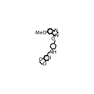 COc1ccc2ncnc(OCC3CCC(NCc4cc5c(cn4)OCCO5)CC3)c2c1